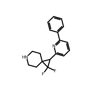 FC1(F)C(c2cccc(-c3ccccc3)n2)C12CCNCC2